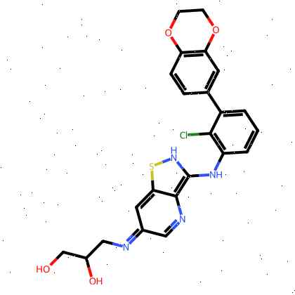 OCC(O)CN=c1cnc2c(Nc3cccc(-c4ccc5c(c4)OCCO5)c3Cl)[nH]sc-2c1